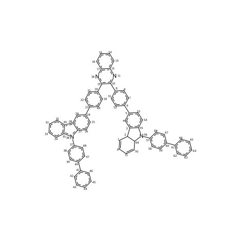 C1=CC2c3cc(-c4ccc(-c5nc6ccccc6nc5-c5ccc(-c6ccc7c(c6)c6ccccc6n7-c6ccc(-c7ccccc7)cc6)cc5)cc4)ccc3N(c3ccc(-c4ccccc4)cc3)C2C=C1